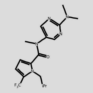 CC(C)Cn1c(C(=O)N(C)c2cnc(N(C)C)nc2)ccc1C(F)(F)F